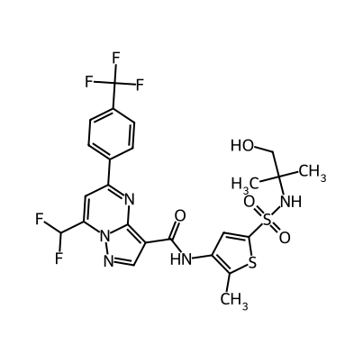 Cc1sc(S(=O)(=O)NC(C)(C)CO)cc1NC(=O)c1cnn2c(C(F)F)cc(-c3ccc(C(F)(F)F)cc3)nc12